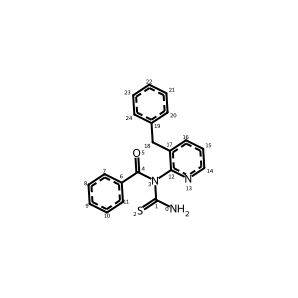 NC(=S)N(C(=O)c1ccccc1)c1ncccc1Cc1ccccc1